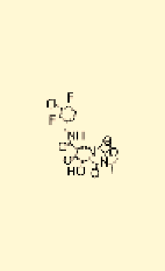 C[C@@H]1CO[C@@]23CCOCC2n2cc(C(=O)NCc4ccc(F)c(Cl)c4F)c(=O)c(O)c2C(=O)N13